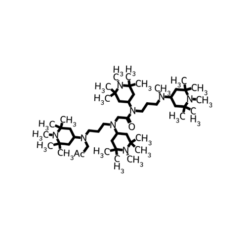 CC(=O)CN(CCCN(CC(=O)N(CCCN(C)C1CC(C)(C)N(C)C(C)(C)C1)C1CC(C)(C)N(C)C(C)(C)C1)C1CC(C)(C)N(C)C(C)(C)C1)C1CC(C)(C)N(C)C(C)(C)C1